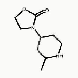 CC1CC(N2CCOC2=O)CCN1